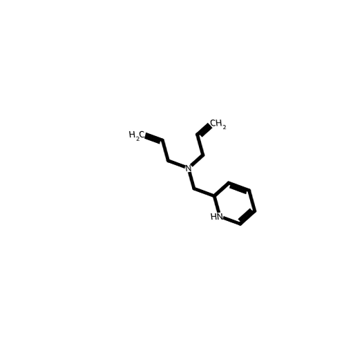 C=CCN(CC=C)CC1C=CC=CN1